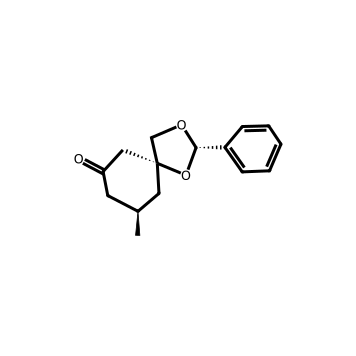 C[C@H]1CC(=O)C[C@@]2(CO[C@H](c3ccccc3)O2)C1